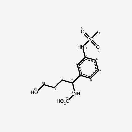 CS(=O)(=O)Nc1cccc(C(CCCO)NC(=O)O)c1